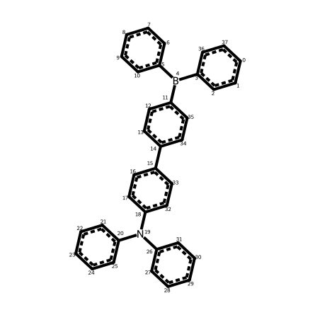 c1ccc(B(c2ccccc2)c2ccc(-c3ccc(N(c4ccccc4)c4ccccc4)cc3)cc2)cc1